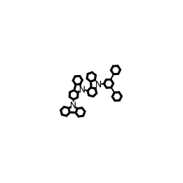 c1ccc(-c2cc(-c3ccccc3)cc(-n3c4ccccc4c4c(-n5c6ccccc6c6ccc(-n7c8ccccc8c8ccccc87)cc65)cccc43)c2)cc1